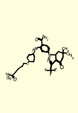 CC1(C)CC(=O)C2C(C(F)(F)F)=NN(c3ccc(C(N)=O)c(NC4CCC(OCCCC(=O)NO)CC4)c3)C2C1